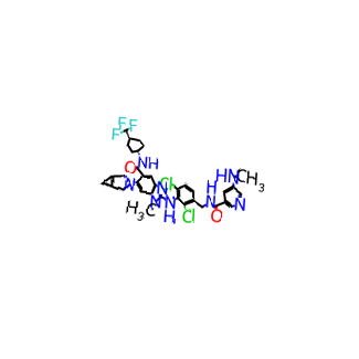 CNc1cncc(C(=O)NCc2ccc(Cl)c(Nc3nc4cc(C(=O)N[C@H]5CC[C@H](C(F)(F)F)CC5)c(N5CC6CC6C5)cc4n3C)c2Cl)c1